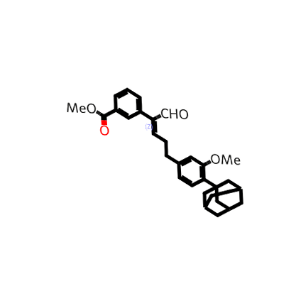 COC(=O)c1cccc(/C(C=O)=C/CCc2ccc(C34CC5CC(CC(C5)C3)C4)c(OC)c2)c1